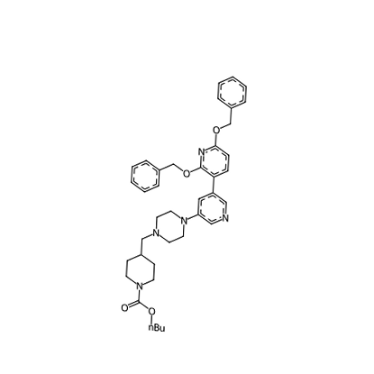 CCCCOC(=O)N1CCC(CN2CCN(c3cncc(-c4ccc(OCc5ccccc5)nc4OCc4ccccc4)c3)CC2)CC1